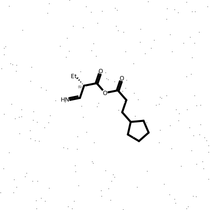 CC[C@@H](C=N)C(=O)OC(=O)CCC1CCCC1